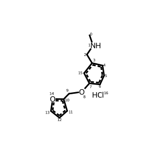 CNCc1cccc(OCc2ccco2)c1.Cl